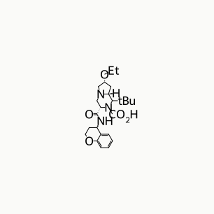 CCO[C@@H]1C[C@@H]2C(C(C)(C)C)N(C(=O)O)[C@H](C(=O)N[C@@H]3CCOc4ccccc43)CN2C1